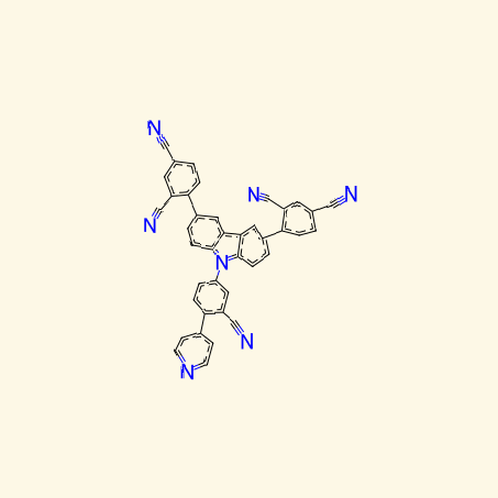 N#Cc1ccc(-c2ccc3c(c2)c2cc(-c4ccc(C#N)cc4C#N)ccc2n3-c2ccc(-c3ccncc3)c(C#N)c2)c(C#N)c1